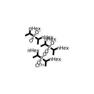 CCCCCCC(C)P(=O)([O-])C(C)CCCCCC.CCCCCCC(C)P(=O)([O-])C(C)CCCCCC.CCCCCCC(C)P(=O)([O-])C(C)CCCCCC.[Cr+3]